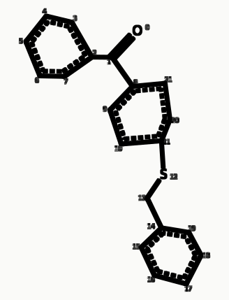 O=C(c1ccccc1)c1ccc(SCc2ccccc2)cc1